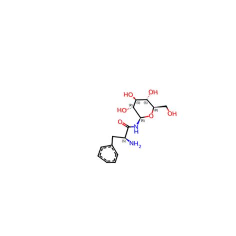 N[C@@H](Cc1ccccc1)C(=O)N[C@@H]1O[C@H](CO)[C@@H](O)[C@H](O)[C@H]1O